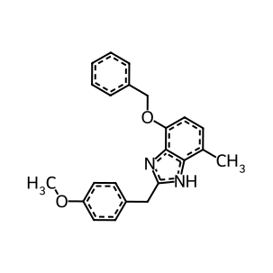 COc1ccc(Cc2nc3c(OCc4ccccc4)ccc(C)c3[nH]2)cc1